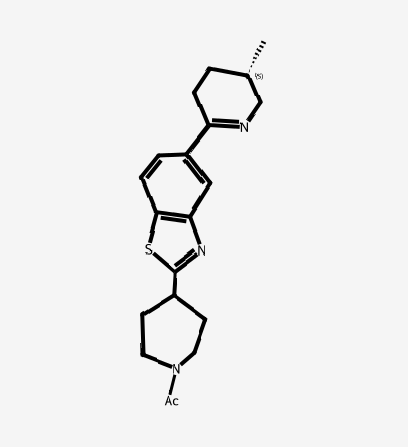 CC(=O)N1CCC(c2nc3cc(C4=NC[C@@H](C)CC4)ccc3s2)CC1